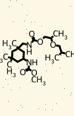 COC(=O)NC1CC(C)(C)CC(C)(CNC(=O)OCC(C)OCC(C)C)C1